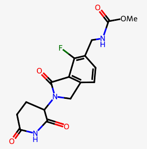 COC(=O)NCc1ccc2c(c1F)C(=O)N(C1CCC(=O)NC1=O)C2